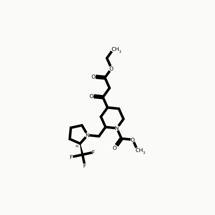 CCOC(=O)CC(=O)C1CCN(C(=O)OC)C(CN2CCC[C@@H]2C(F)(F)F)C1